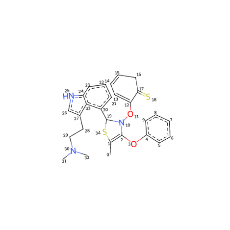 CC1=C(Oc2ccccc2)N(OC2=CC=CCC2=S)C(c2cccc3[nH]cc(CCN(C)C)c23)S1